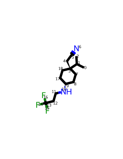 CC(C)[C@]1(CC#N)CC[C@H](NCCC(F)(F)F)CC1